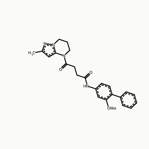 COc1cc(NC(=O)CCC(=O)N2CCCn3nc(C)cc32)ccc1-c1ccccc1